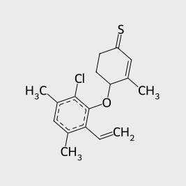 C=Cc1c(C)cc(C)c(Cl)c1OC1CCC(=S)C=C1C